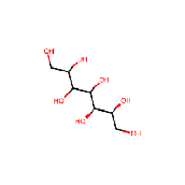 OCC(O)C(O)C(O)[C@H](O)[C@@H](O)CO